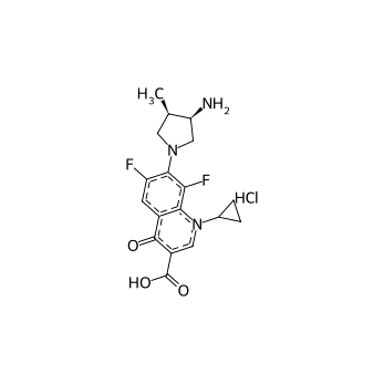 C[C@@H]1CN(c2c(F)cc3c(=O)c(C(=O)O)cn(C4CC4)c3c2F)C[C@@H]1N.Cl